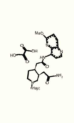 CCCCCCCN1CC[C@@H](CC(=O)Nc2ccnc3ccc(OC)nc23)[C@@H](CC(N)=O)C1.O=C(O)C(=O)O